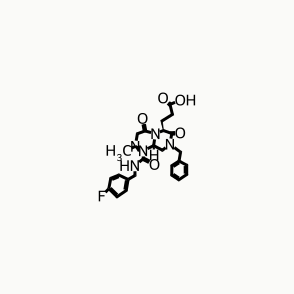 CN1CC(=O)N2[C@@H](CCC(=O)O)C(=O)N(Cc3ccccc3)C[C@@H]2N1C(=O)NCc1ccc(F)cc1